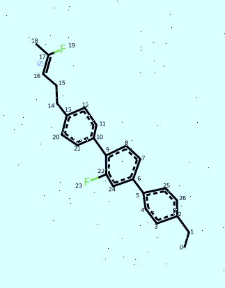 CCc1ccc(-c2ccc(-c3ccc(CC/C=C(/C)F)cc3)c(F)c2)cc1